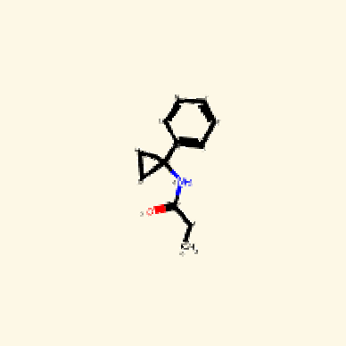 CCC(=O)NC1(c2ccccc2)CC1